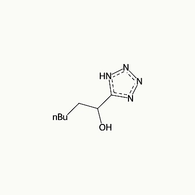 CCCCCC(O)c1nnn[nH]1